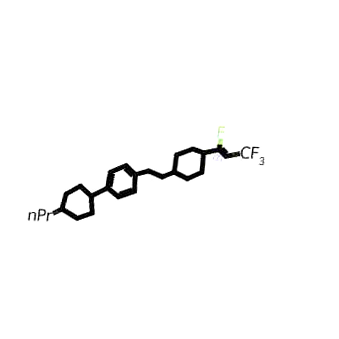 CCCC1CCC(c2ccc(CCC3CCC(/C(F)=C/C(F)(F)F)CC3)cc2)CC1